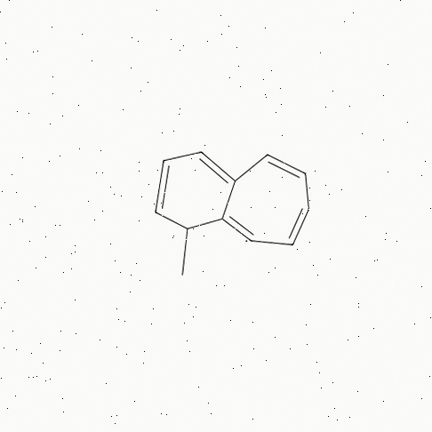 CC1C=CC=C2C=CC=C[C]=C21